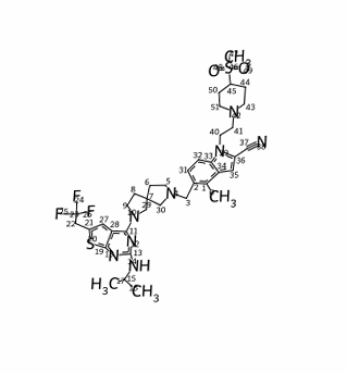 Cc1c(CN2CCC3(CCN(c4nc(NC(C)C)nc5sc(CC(F)(F)F)cc45)C3)C2)ccc2c1cc(C#N)n2CCN1CCC(S(C)(=O)=O)CC1